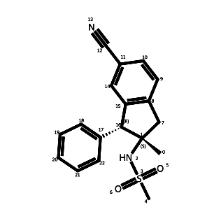 C[C@]1(NS(C)(=O)=O)Cc2ccc(C#N)cc2[C@H]1c1ccccc1